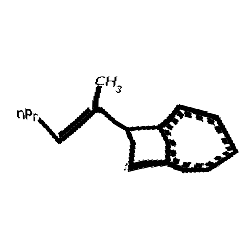 CCCC=C(C)C1[C]c2ccccc21